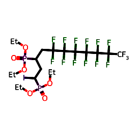 CCOP(=O)(OCC)C(I)CC(CC(F)(F)C(F)(F)C(F)(F)C(F)(F)C(F)(F)C(F)(F)C(F)(F)F)P(=O)(OCC)OCC